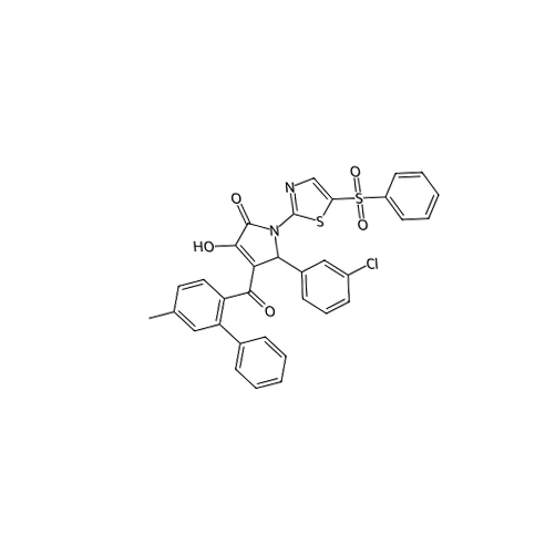 Cc1ccc(C(=O)C2=C(O)C(=O)N(c3ncc(S(=O)(=O)c4ccccc4)s3)C2c2cccc(Cl)c2)c(-c2ccccc2)c1